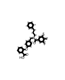 O=C(O)c1ccccc1Oc1ccc(CN(CCCc2ccccc2)C(=O)c2cc(F)c(F)c(F)c2)cc1